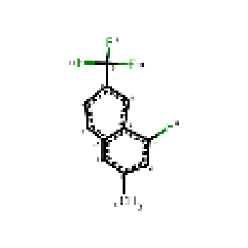 Cc1cc(F)c2cc(C(F)(F)F)ccc2c1